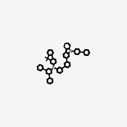 CC1(C)c2ccccc2-c2ccc(N(c3cccc(-c4cccc(-c5ccc6c7c(n(-c8ccc(-c9ccccc9)cc8)c6c5)C=CCC7)c4)c3)c3cc(-c4ccccc4)cc(-c4ccccc4)c3)cc21